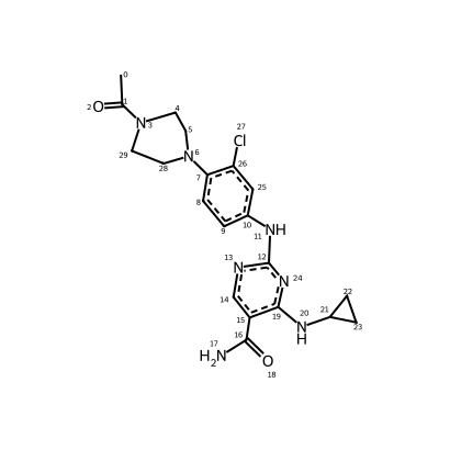 CC(=O)N1CCN(c2ccc(Nc3ncc(C(N)=O)c(NC4CC4)n3)cc2Cl)CC1